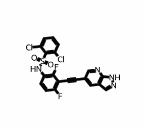 O=S(=O)(Nc1ccc(F)c(C#Cc2cnc3[nH]ncc3c2)c1F)c1c(Cl)cccc1Cl